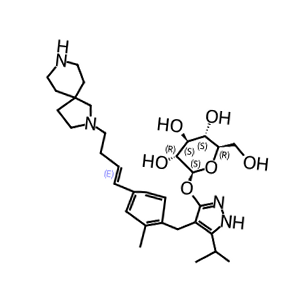 Cc1cc(/C=C/CCN2CCC3(CCNCC3)C2)ccc1Cc1c(O[C@@H]2O[C@H](CO)[C@@H](O)[C@H](O)[C@H]2O)n[nH]c1C(C)C